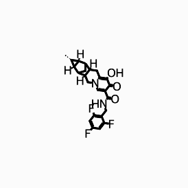 C[C@H]1[C@H]2C3CC([C@@H]12)[C@@H]1Cc2c(O)c(=O)c(C(=O)NCc4c(F)cc(F)cc4F)cn2C[C@@H]31